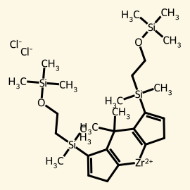 CC1(C)C2=[C](CC=C2[Si](C)(C)CCO[Si](C)(C)C)[Zr+2][C]2=C1C([Si](C)(C)CCO[Si](C)(C)C)=CC2.[Cl-].[Cl-]